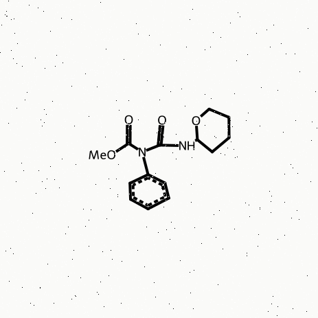 COC(=O)N(C(=O)NC1CCCCO1)c1ccccc1